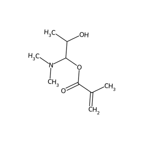 C=C(C)C(=O)OC(C(C)O)N(C)C